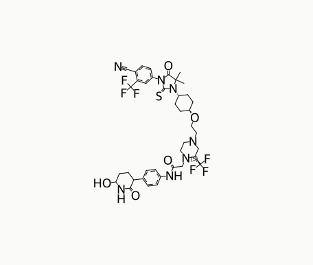 CC1(C)C(=O)N(c2ccc(C#N)c(C(F)(F)F)c2)C(=S)N1[C@H]1CC[C@H](OCCN2CCN(CC(=O)Nc3ccc(C4CCC(O)NC4=O)cc3)[C@H](C(F)(F)F)C2)CC1